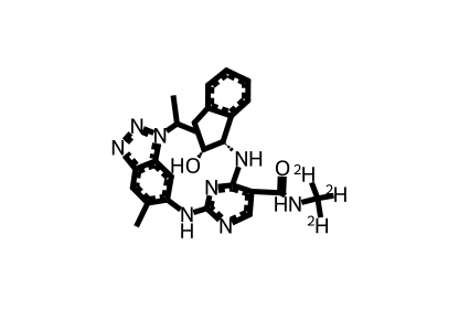 [2H]C([2H])([2H])NC(=O)c1cnc(Nc2cc3c(cc2C)nnn3C(C)C)nc1N[C@H]1c2ccccc2C[C@H]1O